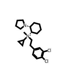 C[N+](CCc1ccc(Cl)c(Cl)c1)(C1CC1)[C@H]1CCCC[C@H]1N1CCCC1